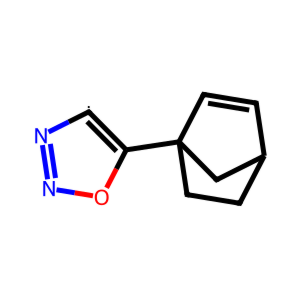 [c]1nnoc1C12C=CC(CC1)C2